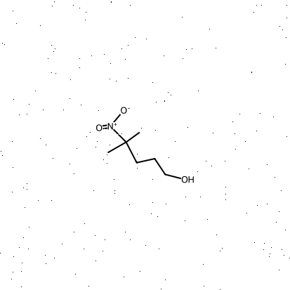 CC(C)(CCCO)[N+](=O)[O-]